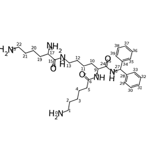 NCCCCCC(=O)NC(CCCCNC(=O)C(N)CCCCN)C(=O)NC(c1ccccc1)c1ccccc1